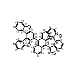 c1ccc2c(c1)oc1ccc3scc(-c4c5ccccc5c(-c5cc6oc7ccccc7c6c6c5oc5ccccc56)c5ccccc45)c3c12